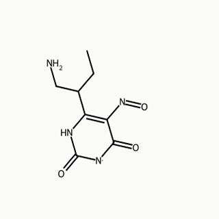 CCC(CN)C1=C(N=O)C(=O)[N]C(=O)N1